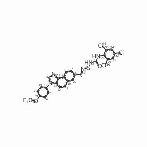 O=C(NS/N=C/c1ccc2c(ccc3c2ncn3-c2ccc(OC(F)(F)F)cc2)c1)Nc1c(Cl)cc(Cl)cc1Cl